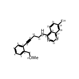 COCc1ccccc1C#CCCNc1ncnc2cc(F)ccc12